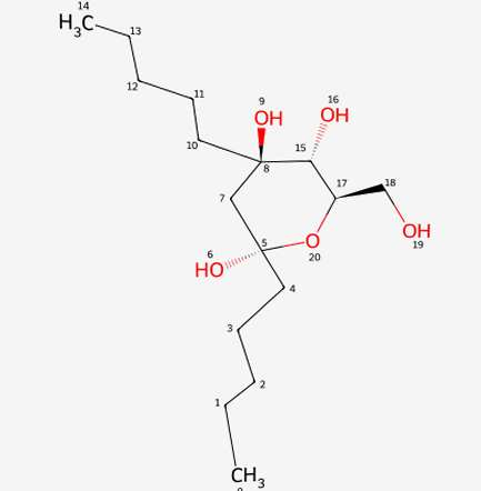 CCCCC[C@@]1(O)C[C@](O)(CCCCC)[C@H](O)[C@@H](CO)O1